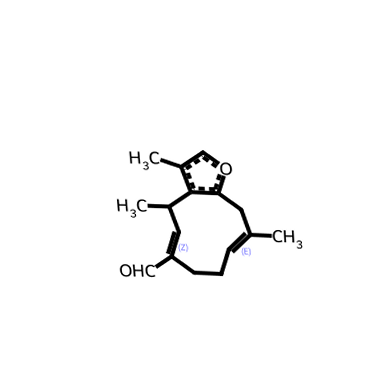 C/C1=C\CC/C(C=O)=C/C(C)c2c(C)coc2C1